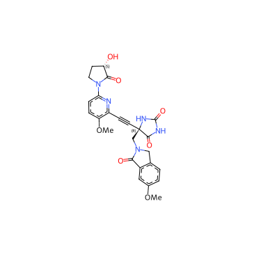 COc1ccc2c(c1)C(=O)N(C[C@@]1(C#Cc3nc(N4CC[C@H](O)C4=O)ccc3OC)NC(=O)NC1=O)C2